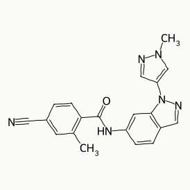 Cc1cc(C#N)ccc1C(=O)Nc1ccc2cnn(-c3cnn(C)c3)c2c1